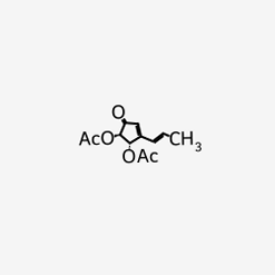 C/C=C/C1=CC(=O)[C@H](OC(C)=O)[C@H]1OC(C)=O